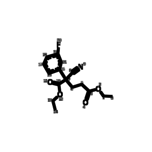 CCOC(=O)CCC(C#N)(C(=O)OCC)c1cccc(F)c1